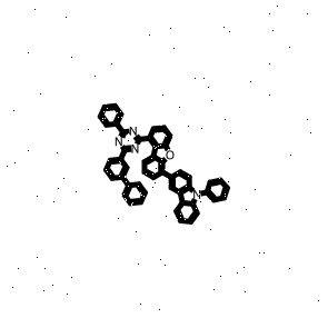 C1=CC2c3cc(-c4cccc5c4oc4cccc(-c6nc(-c7ccccc7)nc(-c7cccc(-c8ccccc8)c7)n6)c45)ccc3N(c3ccccc3)C2C=C1